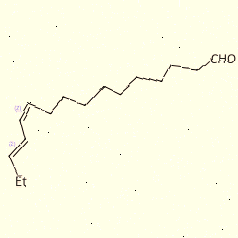 CC/C=C/C=C\CCCCCCCCCC=O